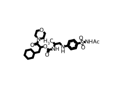 CC(=O)NS(=O)(=O)c1ccc(NCC(C)NC(=O)OC(CC2CCCCC2)C(=O)N2CCOCC2)cc1